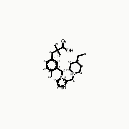 CCC1CCN(Cc2nccn2Cc2cc(CC(C)(C)C(=O)O)ccc2C)CC1